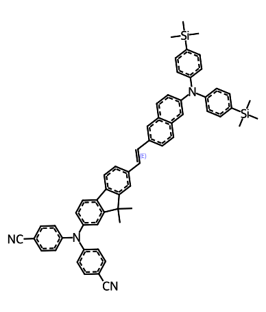 CC1(C)c2cc(/C=C/c3ccc4cc(N(c5ccc([Si](C)(C)C)cc5)c5ccc([Si](C)(C)C)cc5)ccc4c3)ccc2-c2ccc(N(c3ccc(C#N)cc3)c3ccc(C#N)cc3)cc21